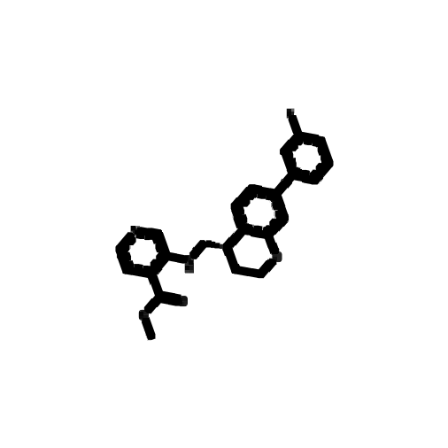 COC(=O)c1ccncc1NC[C@H]1CCOc2cc(-c3cccc(F)c3)ccc21